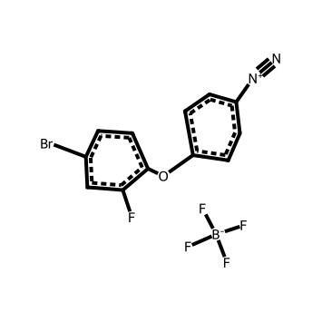 F[B-](F)(F)F.N#[N+]c1ccc(Oc2ccc(Br)cc2F)cc1